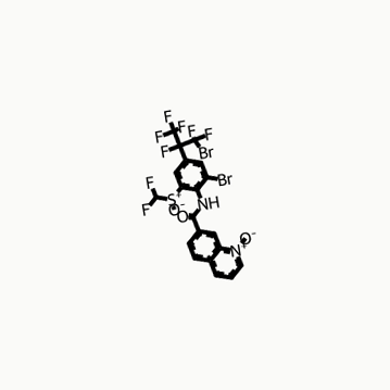 O=C(Nc1c(Br)cc(C(F)(C(F)(F)F)C(F)(F)Br)cc1[S+]([O-])C(F)F)c1ccc2ccc[n+]([O-])c2c1